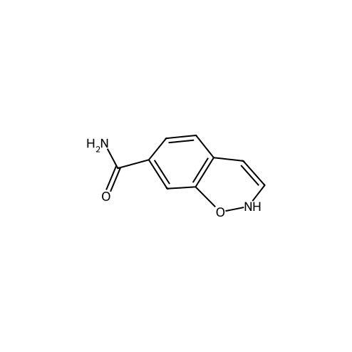 NC(=O)c1ccc2c(c1)ONC=C2